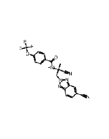 CC(C#N)(Cn1nc2ccc(C#N)cc2n1)NC(=O)c1ccc(OC(F)(F)F)cc1